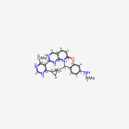 CNNc1ccc(C(C)n2c(=O)ccc3cnc(-c4c(OC)ncnc4C4CC4)nc32)cc1